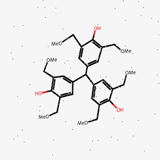 COCc1cc(C(c2cc(COC)c(O)c(COC)c2)c2cc(COC)c(O)c(COC)c2)cc(COC)c1O